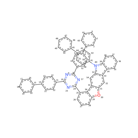 c1ccc(-c2ccc(-c3nc(-c4ccc(-c5ccccc5)cc4)nc(-c4cccc5oc6cc7c8ccccc8n(-c8ccc(-c9ccccc9)cc8)c7cc6c45)n3)cc2)cc1